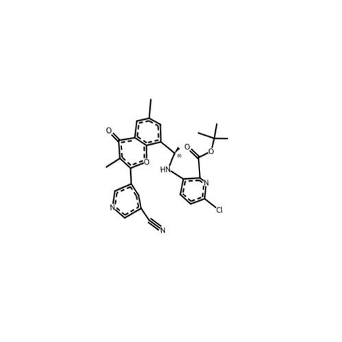 Cc1cc([C@@H](C)Nc2ccc(Cl)nc2C(=O)OC(C)(C)C)c2oc(-c3cncc(C#N)c3)c(C)c(=O)c2c1